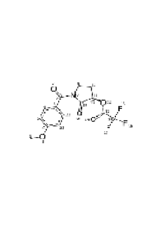 COc1ccc(C(=O)N2CC[C@@H](OC(=O)C(F)(F)F)C2=O)cc1